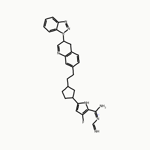 N=C/N=C(/N)c1[nH]c(C2CCC(CCc3ccc4c(c3)N=CC(n3nnc5ccccc53)C4)C2)cc1F